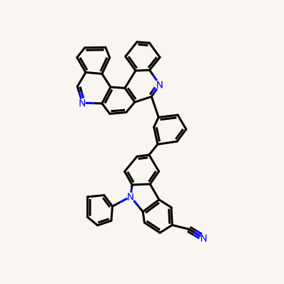 N#Cc1ccc2c(c1)c1cc(-c3cccc(-c4nc5ccccc5c5c4ccc4ncc6ccccc6c45)c3)ccc1n2-c1ccccc1